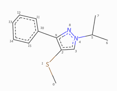 CSc1cn(C(C)C)nc1-c1ccccc1